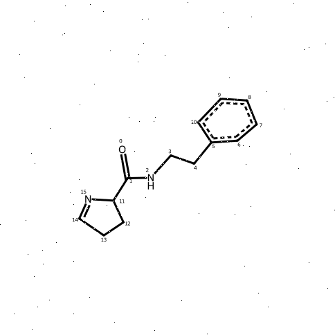 O=C(NCCc1ccccc1)C1CCC=N1